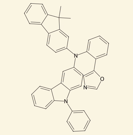 CC1(C)c2ccccc2-c2ccc(N(c3ccc4c(c3)c3ccccc3n4-c3ccccc3)c3ccccc3-c3cnco3)cc21